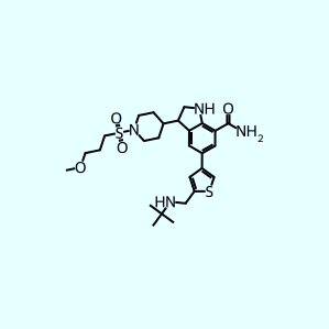 COCCCS(=O)(=O)N1CCC(C2CNc3c(C(N)=O)cc(-c4csc(CNC(C)(C)C)c4)cc32)CC1